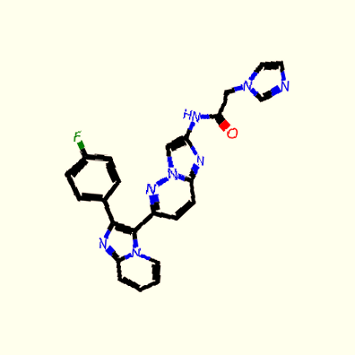 O=C(Cn1ccnc1)Nc1cn2nc(-c3c(-c4ccc(F)cc4)nc4ccccn34)ccc2n1